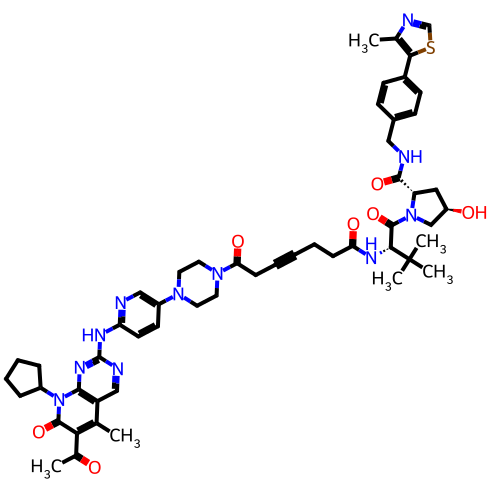 CC(=O)c1c(C)c2cnc(Nc3ccc(N4CCN(C(=O)CC#CCCC(=O)N[C@H](C(=O)N5C[C@H](O)C[C@H]5C(=O)NCc5ccc(-c6scnc6C)cc5)C(C)(C)C)CC4)cn3)nc2n(C2CCCC2)c1=O